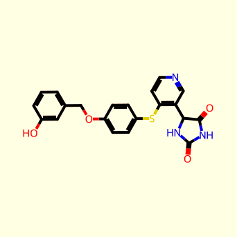 O=C1NC(=O)C(c2cnccc2Sc2ccc(OCc3cccc(O)c3)cc2)N1